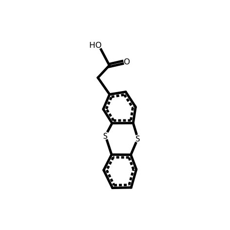 O=C(O)Cc1ccc2c(c1)Sc1ccccc1S2